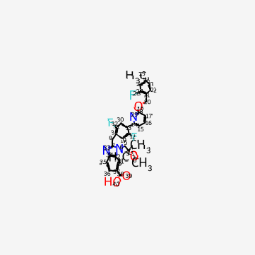 COC(C)(C)Cn1c(Cc2cc(F)c(-c3cccc(OCc4ccc(C)cc4F)n3)cc2F)nc2ccc(C(=O)O)cc21